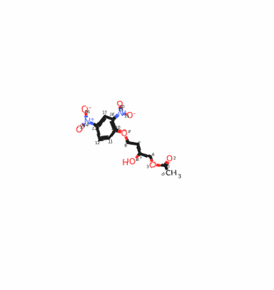 CC(=O)OCC(O)CCOc1ccc([N+](=O)[O-])cc1[N+](=O)[O-]